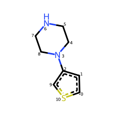 [c]1cc(N2CCNCC2)cs1